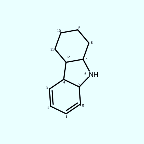 [C]1=CC=CC2C1NC1CCCCC12